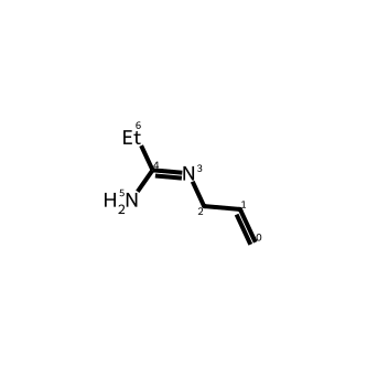 C=CCN=C(N)CC